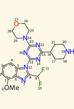 COc1cccc2c1nc(C(F)F)n2-c1nc(C2CCNCC2)nc(N2CCOCC2)n1